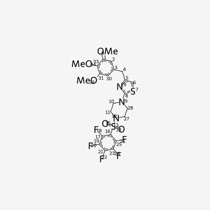 COc1cc(Cc2csc(N3CCN(S(=O)(=O)c4c(F)c(F)c(F)c(F)c4F)CC3)n2)cc(OC)c1OC